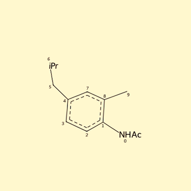 CC(=O)Nc1ccc(CC(C)C)cc1C